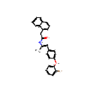 O=C(Cc1cccc2ccccc12)NC(=Cc1ccc(Oc2ccccc2Br)cc1)C(=O)O